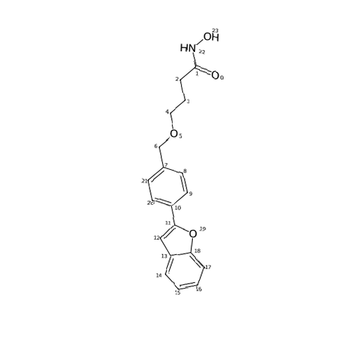 O=C(CCCOCc1ccc(-c2cc3ccccc3o2)cc1)NO